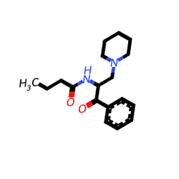 CCCC(=O)NC(CN1CCCCC1)C(=O)c1ccccc1